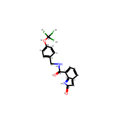 O=C1C=c2cccc(C(=O)NCc3ccc(OC(F)(F)F)cc3)c2=N1